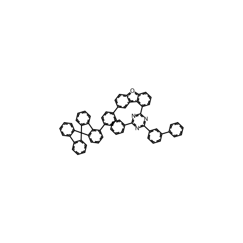 c1ccc(-c2cccc(-c3nc(-c4ccccc4)nc(-c4cccc5oc6ccc(-c7ccc(-c8cccc9c8-c8ccccc8C98c9ccccc9-c9ccccc98)cc7)cc6c45)n3)c2)cc1